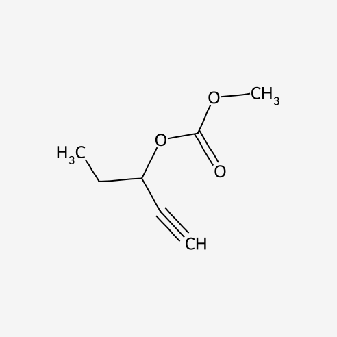 C#CC(CC)OC(=O)OC